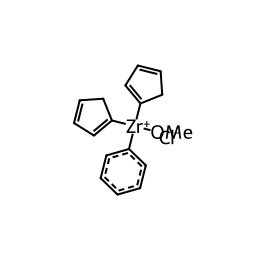 C[O][Zr+]([C]1=CC=CC1)([C]1=CC=CC1)[c]1ccccc1.[Cl-]